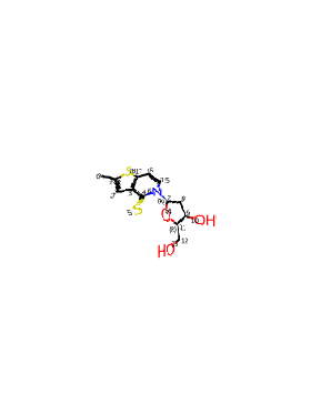 Cc1cc2c(=S)n([C@H]3CC(O)[C@@H](CO)O3)ccc2s1